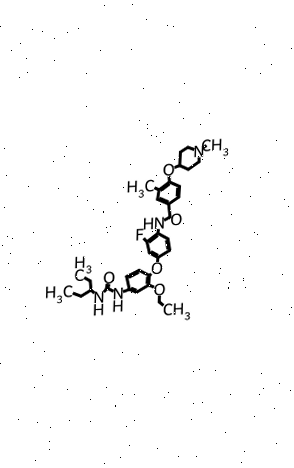 CCOc1cc(NC(=O)NC(CC)CC)ccc1Oc1ccc(NC(=O)c2ccc(OC3CCN(C)CC3)c(C)c2)c(F)c1